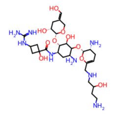 N=C(N)NC1CC(O)(C(=O)N[C@@H]2C[C@H](N)C(O[C@H]3OC(CNCC(O)CCN)=CC[C@H]3N)[C@H](O)[C@H]2O[C@H]2OC/C(=C/O)C[C@H]2O)C1